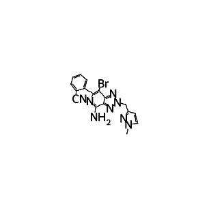 Cn1ccc(Cn2nc3c(N)nc(-c4ccccc4C#N)c(Br)c3n2)n1